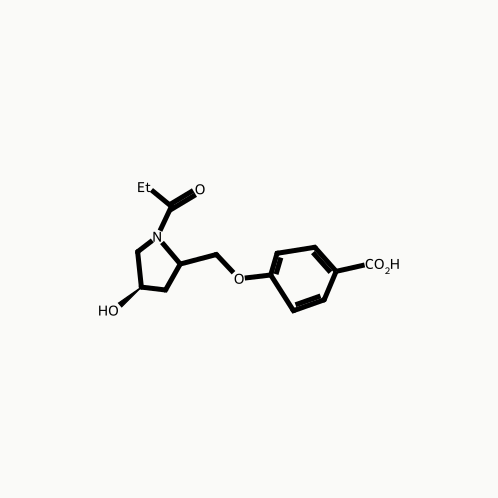 CCC(=O)N1C[C@H](O)CC1COc1ccc(C(=O)O)cc1